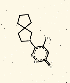 Cc1cc(=O)[nH]nc1N1CCC2(CCCC2)C1